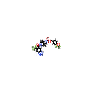 O=C(OCc1ccc(OC(F)(F)F)cc1)N1C[C@@H]2CN(C(=O)c3cc4nn[nH]c4cc3C(F)(F)F)C[C@H]2C1